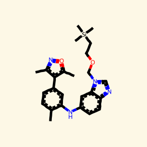 Cc1ccc(-c2c(C)noc2C)cc1Nc1ccc2ncn(COCC[Si](C)(C)C)c2c1